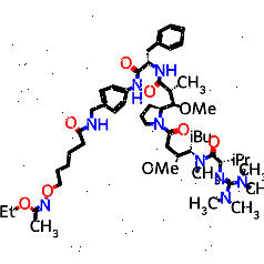 CCO/C(C)=N\OCCCCCC(=O)NCc1ccc(NC(=O)[C@H](Cc2ccccc2)NC(=O)[C@H](C)[C@@H](OC)[C@@H]2CCCN2C(=O)C[C@@H](OC)[C@H]([C@@H](C)CC)N(C)C(=O)[C@@H](N=C(N(C)C)N(C)C)C(C)C)cc1